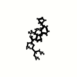 CCN(CC)CCN(CC)C(=O)c1cnn(-c2nccc(-c3cccs3)n2)c1C(C)C